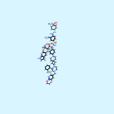 Cc1ccccc1[C@@H]1CN(Cc2cnc3c(c2)OCCO3)CCN1C1CC2(CCN(c3ccc(C(=O)NS(=O)(=O)c4ccc(NC[C@H]5CC[C@](C)(O)CC5)c([N+](=O)[O-])c4)c(N4c5cc6c(F)c[nH]c6nc5O[C@H]5COCC[C@@H]54)c3)CC2)C1